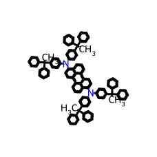 CC(c1ccccc1)(c1ccccc1)c1ccc(N(c2ccc(C(C)(c3ccccc3)c3ccccc3)cc2)c2ccc3c4cccc5c(N(c6ccc(C(C)(c7ccccc7)c7ccccc7)cc6)c6ccc(C(C)(c7ccccc7)c7ccccc7)cc6)ccc(c6cccc2c63)c54)cc1